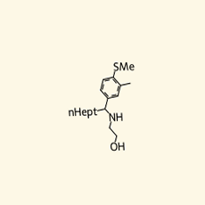 CCCCCCCC(NCCO)c1ccc(SC)c(C)c1